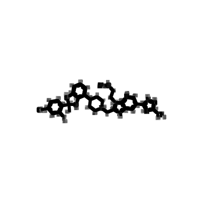 COCCn1c(CN2CCC(c3cccc4c3OC(C)(c3ccc(Cl)cc3F)O4)CC2)nc2cc(-c3noc(C(F)(F)F)n3)cnc21